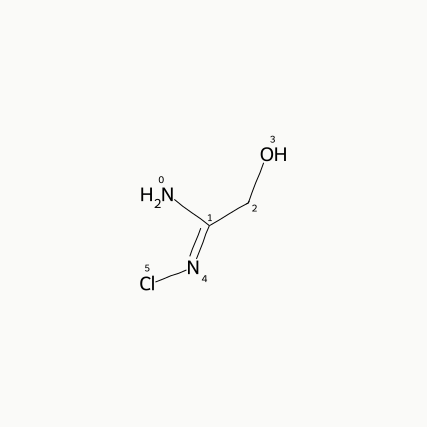 N/C(CO)=N\Cl